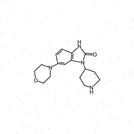 O=c1[nH]c2ccc(N3CCOCC3)cc2n1C1CCNCC1